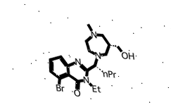 CCC[C@H](c1nc2cccc(Br)c2c(=O)n1CC)N1CCN(C)C[C@H](CO)C1